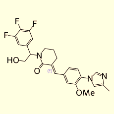 COc1cc(/C=C2\CCCN(C(CO)c3cc(F)c(F)c(F)c3)C2=O)ccc1-n1cnc(C)c1